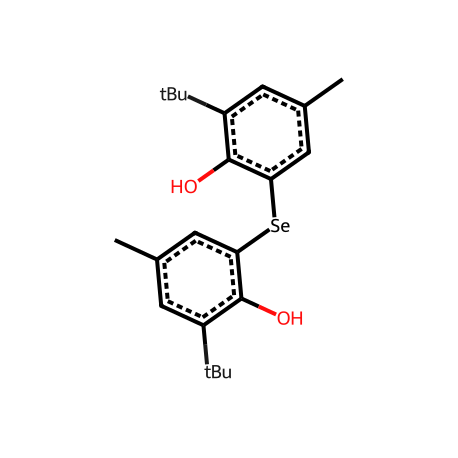 Cc1cc([Se]c2cc(C)cc(C(C)(C)C)c2O)c(O)c(C(C)(C)C)c1